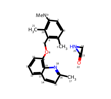 CNc1ccc(C)c(COc2cccc3ccc(C)nc23)c1C.O=C1CN1